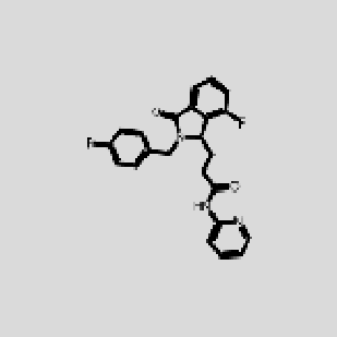 O=C(CCC1c2c(F)cccc2C(=O)N1Cc1ccc(F)cc1)Nc1ccccn1